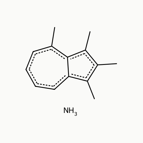 Cc1ccccc2c(C)c(C)c(C)c1-2.N